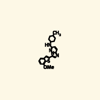 COc1cccc2cc(-c3cnc4ccc(NC5CCC(C)CC5)nn34)sc12